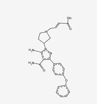 NC(=O)c1c(-c2ccc(Oc3ccccc3)cc2)nn(C2CCN(CC=CC(=O)O)C2)c1N